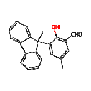 Cc1cc(C=O)c(O)c(C2(C)c3ccccc3-c3ccccc32)c1